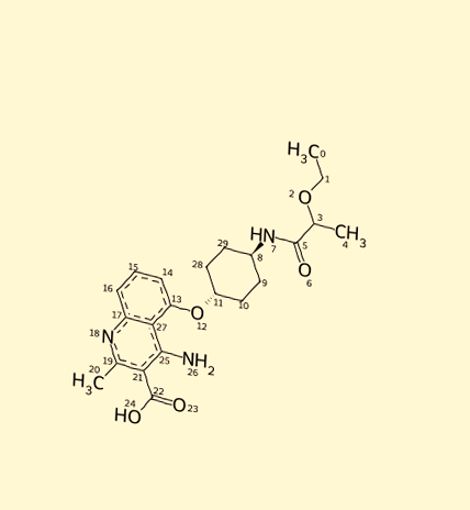 CCOC(C)C(=O)N[C@H]1CC[C@H](Oc2cccc3nc(C)c(C(=O)O)c(N)c23)CC1